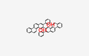 Oc1c(-c2c(-c3ccccc3)cc3ccc4c5ccccc5ccc4c3c2O)c(-c2ccccc2)cc2ccc3c4ccccc4ccc3c12